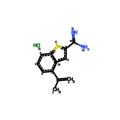 C=C(C)c1cccc2sc(C(=N)N)cc12.Cl